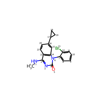 CNc1nc(=O)n(-c2ccccc2Br)c2cc(C3CC3)ccc12